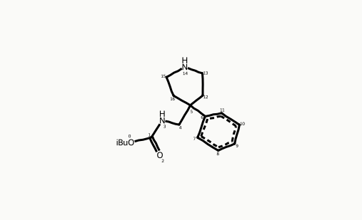 CC(C)COC(=O)NCC1(c2ccccc2)CCNCC1